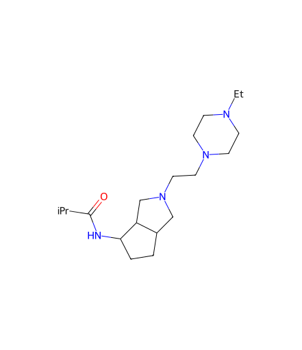 CCN1CCN(CCN2CC3CCC(NC(=O)C(C)C)C3C2)CC1